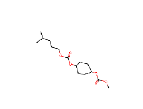 COC(=O)OC1CCC(OC(=O)OCCCC(C)C)CC1